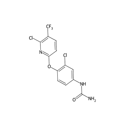 NC(=O)Nc1ccc(Oc2ccc(C(F)(F)F)c(Cl)n2)c(Cl)c1